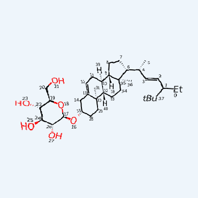 CCC(/C=C/[C@@H](C)[C@H]1CC[C@H]2[C@@H]3CC=C4C[C@@H](O[C@@H]5O[C@H](CO)[C@@H](O)[C@H](O)[C@H]5O)CC[C@]4(C)[C@H]3CC[C@]12C)C(C)(C)C